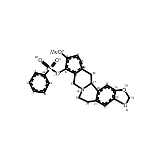 COc1ccc2c(c1OS(=O)(=O)c1ccccc1)CN1CCc3cc4c(cc3C1C2)OCO4